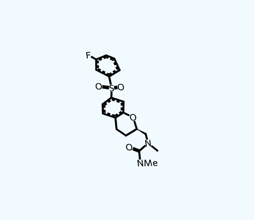 CNC(=O)N(C)C[C@H]1CCc2ccc(S(=O)(=O)c3cccc(F)c3)cc2O1